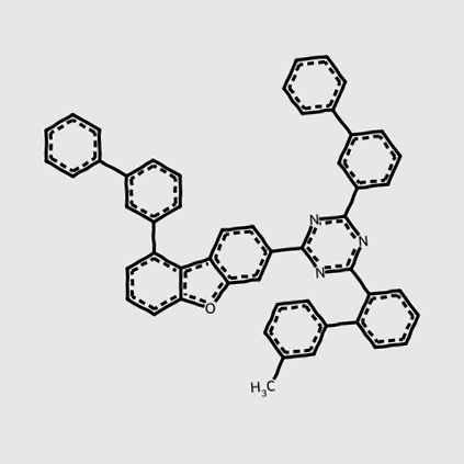 Cc1cccc(-c2ccccc2-c2nc(-c3cccc(-c4ccccc4)c3)nc(-c3ccc4c(c3)oc3cccc(-c5cccc(-c6ccccc6)c5)c34)n2)c1